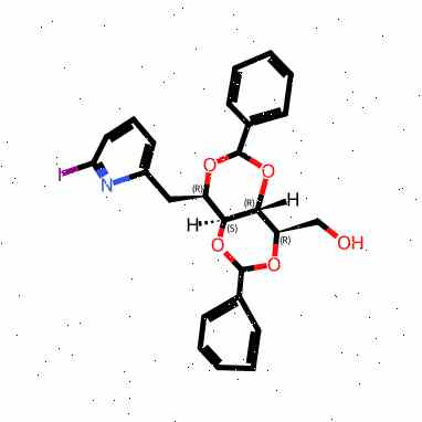 OC[C@H]1OC(c2ccccc2)O[C@@H]2[C@@H]1OC(c1ccccc1)O[C@@H]2Cc1cccc(I)n1